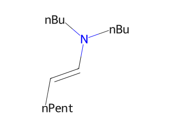 CCCCC/C=C/N(CCCC)CCCC